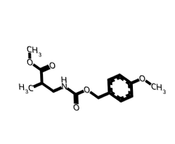 COC(=O)C(C)CNC(=O)OCc1ccc(OC)cc1